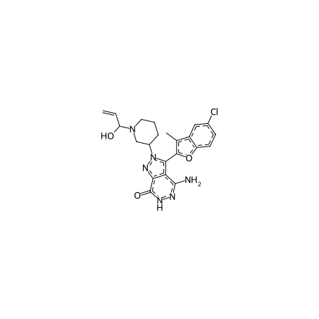 C=CC(O)N1CCCC(n2nc3c(=O)[nH]nc(N)c3c2-c2oc3ccc(Cl)cc3c2C)C1